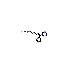 CCOC(=O)CCCC/C=C(\c1ccccc1)c1cccnc1